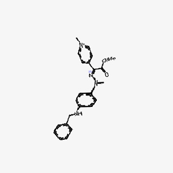 COC(=O)/C(=N\N(C)c1ccc(NCc2ccccc2)cc1)c1cc[n+](C)cc1